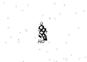 CC[C@]12CC[C@H]3[C@@H]([C@H](C)CC4=CC(=O)CC[C@@H]43)[C@@H]1CC[C@@H]2O